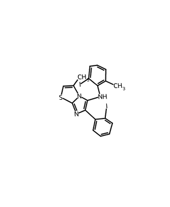 Cc1cccc(I)c1Nc1c(-c2ccccc2I)nc2scc(C)n12